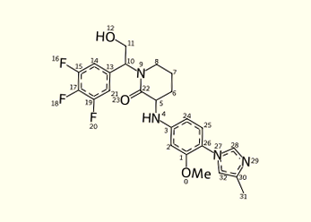 COc1cc(NC2CCCN(C(CO)c3cc(F)c(F)c(F)c3)C2=O)ccc1-n1cnc(C)c1